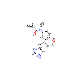 CCN(C(=O)NC)c1ccc2c(c1)C(Cc1c[nH]cn1)CCO2